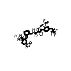 CCn1nc(C(=O)NCc2ccccc2CC2(OC(N)=O)CC(S(C)(=O)=O)CCC2O)c(Cl)c1-c1ccc(CC(C)(C)C(F)(F)F)cc1OC(F)F